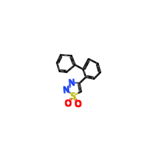 O=S1(=O)C=C(c2ccccc2-c2ccccc2)N=N1